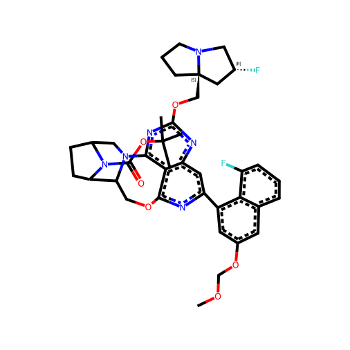 COCOc1cc(-c2cc3nc(OC[C@@]45CCCN4C[C@H](F)C5)nc4c3c(n2)OCC2C3CCC(CN42)N3C(=O)OC(C)(C)C)c2c(F)cccc2c1